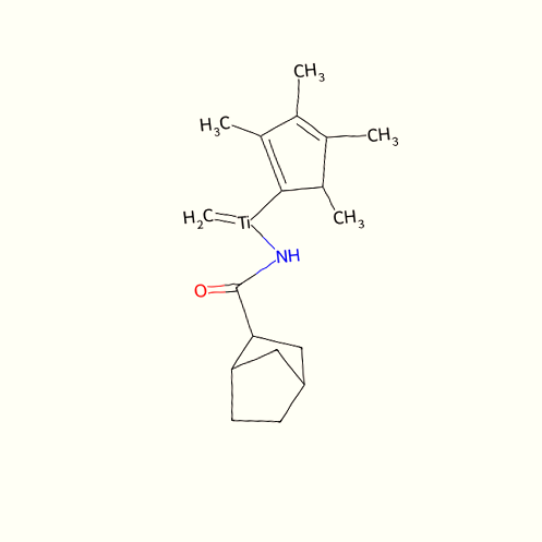 [CH2]=[Ti]([NH]C(=O)C1CC2CCC1C2)[C]1=C(C)C(C)=C(C)C1C